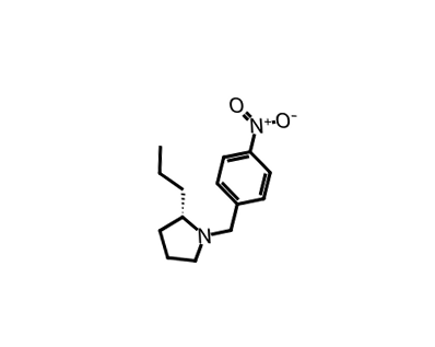 CCC[C@H]1CCCN1Cc1ccc([N+](=O)[O-])cc1